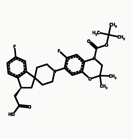 CC(C)(C)OC(=O)N1CC(C)(C)Oc2cc(N3CCC4(CC3)C[C@@H](CC(=O)O)c3ccc(F)cc34)c(F)cc21